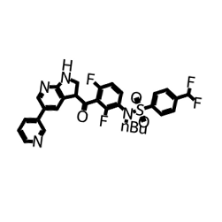 CCCCN(c1ccc(F)c(C(=O)C2CNc3ncc(-c4cccnc4)cc32)c1F)S(=O)(=O)c1ccc(C(F)F)cc1